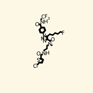 CN(CCCNC(=O)c1ccc(Cl)s1)C(=O)c1nnn(-c2ccc(C(=O)NCC(F)(F)F)cc2)c1CCCCCF